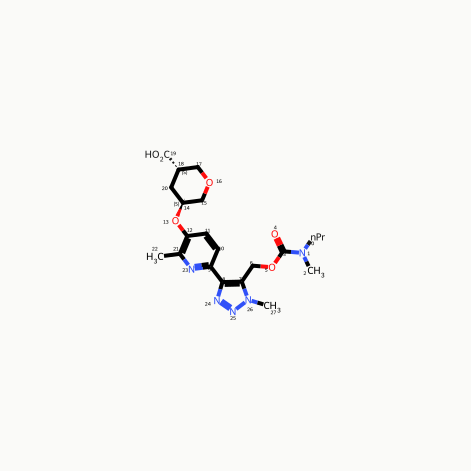 CCCN(C)C(=O)OCc1c(-c2ccc(O[C@@H]3COC[C@@H](C(=O)O)C3)c(C)n2)nnn1C